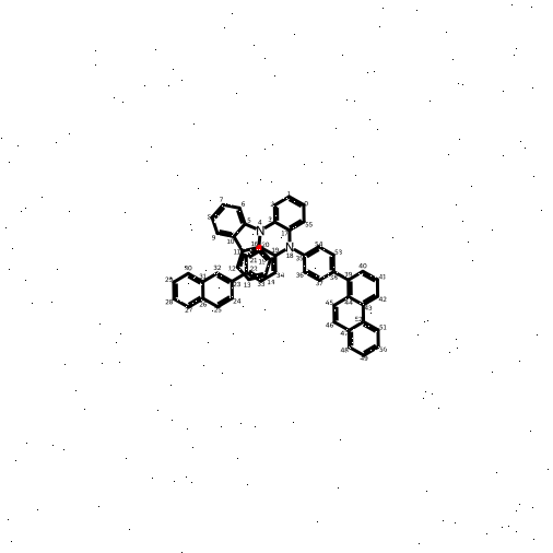 c1ccc(-n2c3ccccc3c3ccccc32)c(N(c2ccc(-c3ccc4ccccc4c3)cc2)c2ccc(-c3cccc4c3ccc3ccccc34)cc2)c1